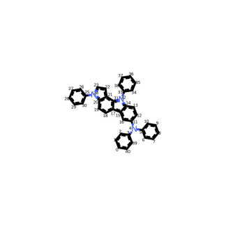 c1ccc(N(c2ccccc2)c2ccc3c(c2)c2ccc4c(ccn4-c4ccccc4)c2n3-c2ccccc2)cc1